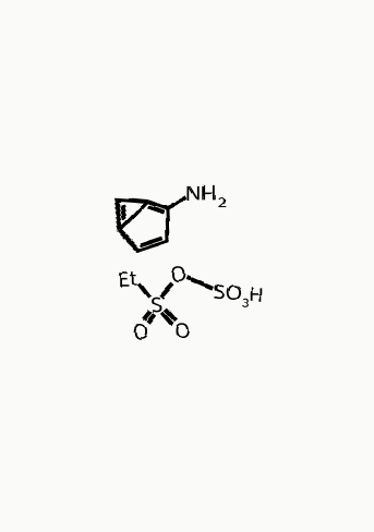 CCS(=O)(=O)OS(=O)(=O)O.Nc1ccc2cc1-2